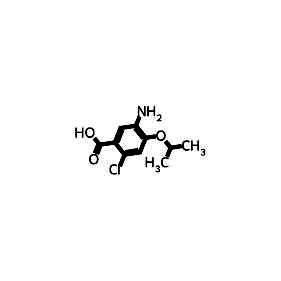 CC(C)Oc1cc(Cl)c(C(=O)O)cc1N